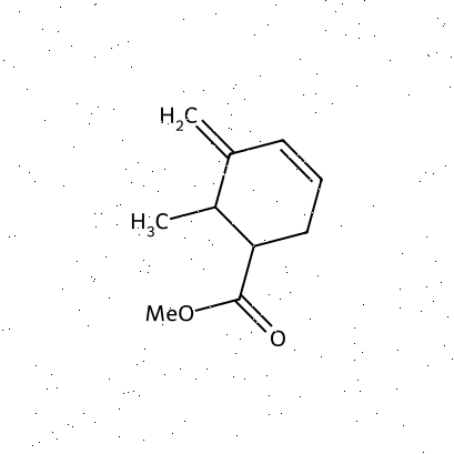 C=C1C=CCC(C(=O)OC)C1C